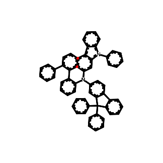 c1ccc(-c2ccccc2-c2ccccc2N(c2ccc3c(c2)C(c2ccccc2)(c2ccccc2)c2ccccc2-3)c2ccc3c4ccccc4n(-c4ccccc4)c3c2)cc1